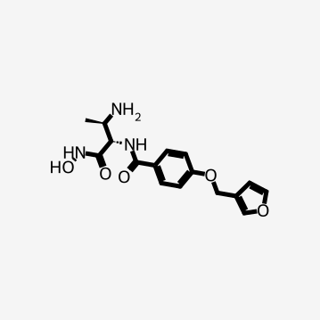 C[C@@H](N)[C@H](NC(=O)c1ccc(OCc2ccoc2)cc1)C(=O)NO